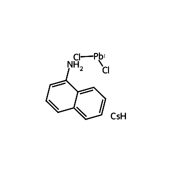 Nc1cccc2ccccc12.[Cl][Pb][Cl].[CsH]